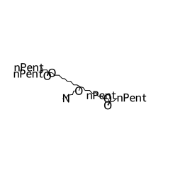 CCCCCC(CCCCC)CC(=O)OCCCCCCCCC(CCCCCCCCOC(=O)CC(CCCCC)CCCCC)OCCCN(C)C